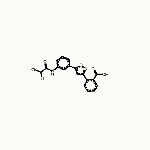 O=C(O)c1ccccc1-c1cc(-c2cccc(NC(=O)C(Cl)Cl)c2)on1